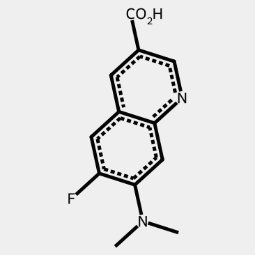 CN(C)c1cc2ncc(C(=O)O)cc2cc1F